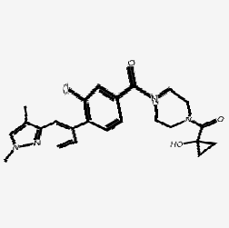 C=C/C(=C\c1nn(C)cc1C)c1ccc(C(=O)N2CCN(C(=O)C3(O)CC3)CC2)cc1Cl